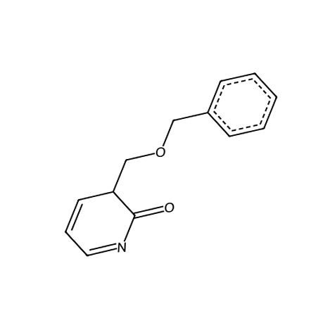 O=C1N=CC=CC1COCc1ccccc1